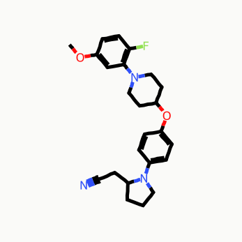 COc1ccc(F)c(N2CCC(Oc3ccc(N4CCCC4CC#N)cc3)CC2)c1